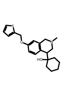 CN1Cc2cc(OCc3cccs3)ccc2C(C2(O)CCCCC2)C1